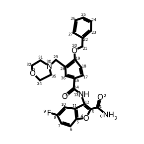 NC(=O)c1oc2ccc(F)cc2c1NC(=O)c1ccc(OCc2ccccc2)c(CN2CCOCC2)c1